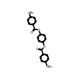 CCCCc1ccc(C(=O)Oc2ccc(OC(=O)c3ccc(CCCC)cc3)cc2)cc1